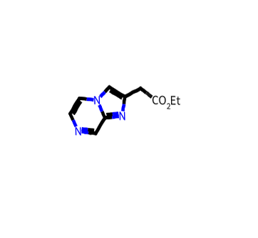 CCOC(=O)Cc1cn2ccncc2n1